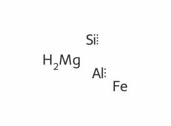 [Al].[Fe].[MgH2].[Si]